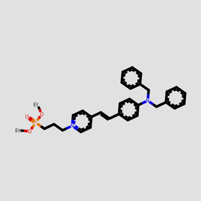 CCOP(=O)(CCC[n+]1ccc(C=Cc2ccc(N(Cc3ccccc3)Cc3ccccc3)cc2)cc1)OCC